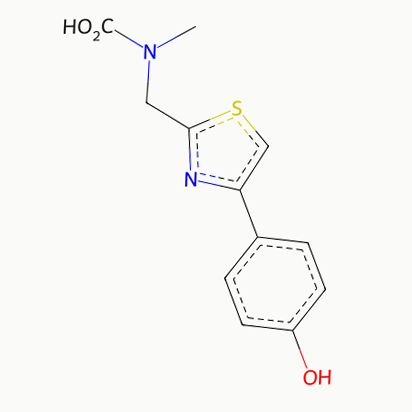 CN(Cc1nc(-c2ccc(O)cc2)cs1)C(=O)O